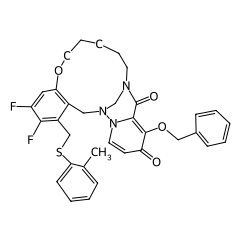 Cc1ccccc1SCc1c(F)c(F)cc2c1CN1CN(CCCCCO2)C(=O)c2c(OCc3ccccc3)c(=O)ccn21